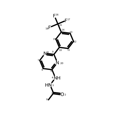 CC(=O)NNc1ccnc(-c2cccc(C(F)(F)F)c2)n1